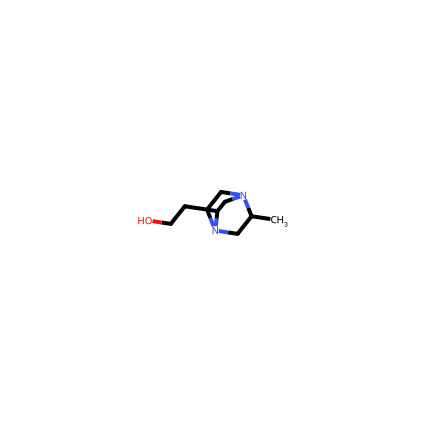 CC1CN2CCN1CC2CCO